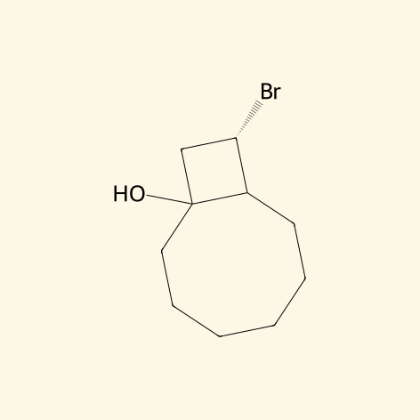 OC12CCCCCCC1[C@@H](Br)C2